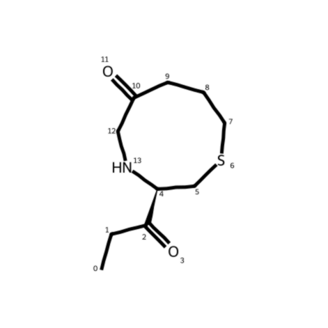 CCC(=O)[C@@H]1CSCCCC(=O)CN1